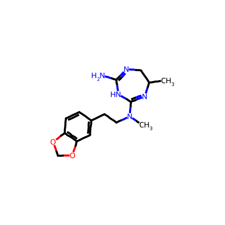 CC1CN=C(N)NC(N(C)CCc2ccc3c(c2)OCO3)=N1